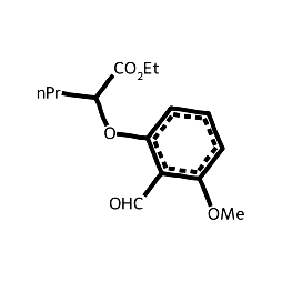 CCCC(Oc1cccc(OC)c1C=O)C(=O)OCC